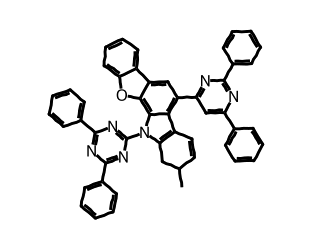 CC1C=Cc2c(n(-c3nc(-c4ccccc4)nc(-c4ccccc4)n3)c3c2c(-c2cc(-c4ccccc4)nc(-c4ccccc4)n2)cc2c4ccccc4oc23)C1